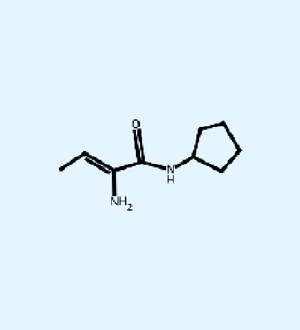 CC=C(N)C(=O)NC1CCCC1